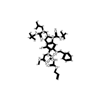 C=CCOC(=O)NS(=O)(=O)N(CC(=O)OC)c1c(OCc2ccccc2)cc2c(c1F)C[C@@H](CN(CC(C)C)C(=O)OC(C)(C)C)N2C(=O)OC(C)(C)C